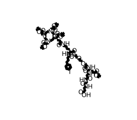 CC(C)(C)OC(=O)CC[C@@H](NC(=O)COCCOCCNC(=O)[C@H](CCCCNC(=O)CC[C@H](C(=O)OC(C)(C)C)N1CCN(CC(=O)OC(C)(C)C)CCN(CC(=O)OC(C)(C)C)CCN(CC(=O)OC(C)(C)C)CC1)NC(=O)CCCc1ccc(I)cc1)C(=O)NCC(=O)NCC(=O)NCCC(=O)O